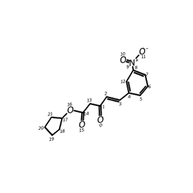 O=C(C=Cc1cccc([N+](=O)[O-])c1)CC(=O)OC1CCCC1